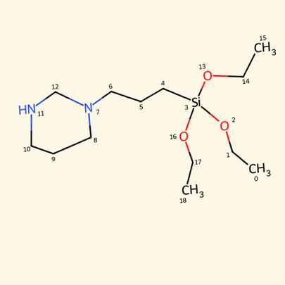 CCO[Si](CCCN1CCCNC1)(OCC)OCC